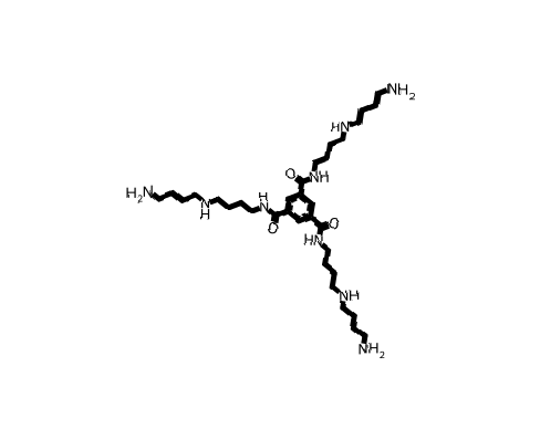 NCCCCNCCCCNC(=O)c1cc(C(=O)NCCCCNCCCCN)cc(C(=O)NCCCCNCCCCN)c1